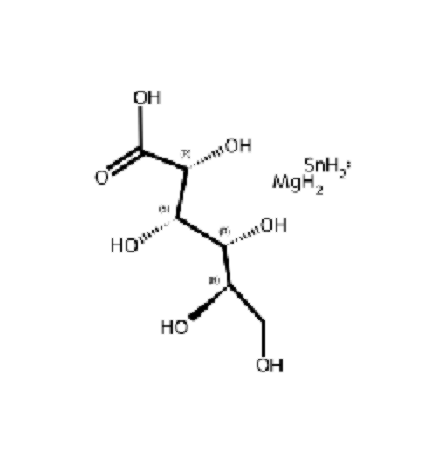 O=C(O)[C@H](O)[C@@H](O)[C@H](O)[C@H](O)CO.[MgH2].[SnH2]